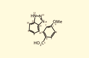 COc1ccc(C(=O)O)cc1.c1ccc2[nH]nnc2c1